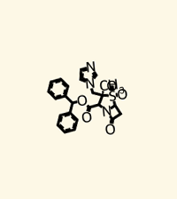 C[C@]1(Cn2ccnc2)C(C(=O)OC(c2ccccc2)c2ccccc2)N2C(=O)CC2S1(=O)=O